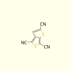 N#Cc1cc2c(C#N)sc(C#N)c2s1